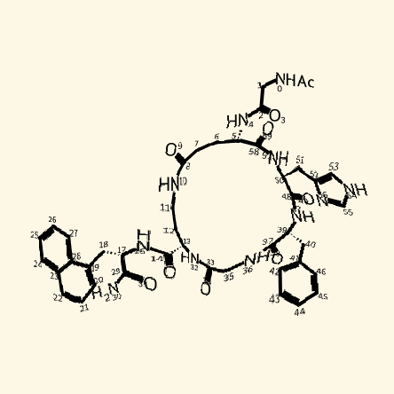 CC(=O)NCC(=O)N[C@H]1CCC(=O)NCC[C@@H](C(=O)N[C@@H](Cc2cccc3ccccc23)C(N)=O)NC(=O)CNC(=O)[C@@H](Cc2ccccc2)NC(=O)[C@H](Cc2c[nH]cn2)NC1=O